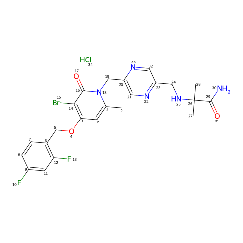 Cc1cc(OCc2ccc(F)cc2F)c(Br)c(=O)n1Cc1cnc(CNC(C)(C)C(N)=O)cn1.Cl